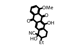 CCC1CCc2c(cc3c(c2O)C(=O)c2c(OC)cccc2C3=O)C1(O)C#N